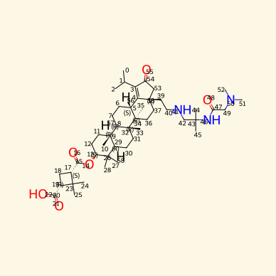 CC(C)C1=C2[C@H]3CC[C@@H]4[C@@]5(C)CC[C@H](OC(=O)[C@H]6C[C@@H](C(=O)O)C6(C)C)C(C)(C)[C@@H]5CC[C@@]4(C)[C@]3(C)CC[C@@]2(CCNCC(C)(C)NC(=O)CN(C)C)CC1=O